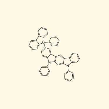 c1ccc(-n2c3ccccc3c3cc4c5cc([Si]6(c7ccccc7)c7ccccc7-c7ccccc76)ccc5n(-c5ccccc5)c4cc32)cc1